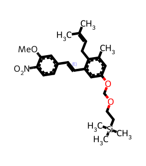 COc1cc(/C=C/c2cc(OCOCC[Si](C)(C)C)cc(C)c2CC=C(C)C)ccc1[N+](=O)[O-]